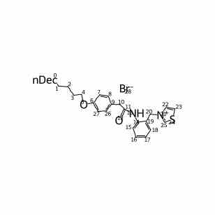 CCCCCCCCCCCCCCOc1ccc(CC(=O)Nc2ccccc2C[n+]2ccsc2)cc1.[Br-]